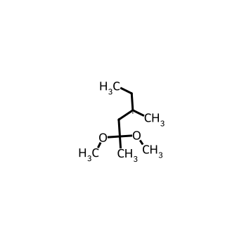 CC[C](C)CC(C)(OC)OC